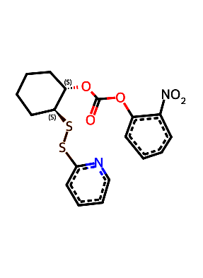 O=C(Oc1ccccc1[N+](=O)[O-])O[C@H]1CCCC[C@@H]1SSc1ccccn1